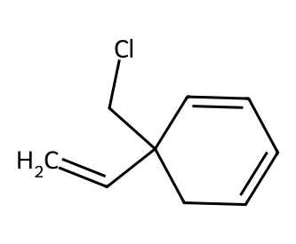 C=CC1(CCl)C=CC=CC1